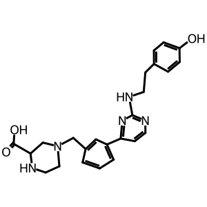 O=C(O)C1CN(Cc2cccc(-c3ccnc(NCCc4ccc(O)cc4)n3)c2)CCN1